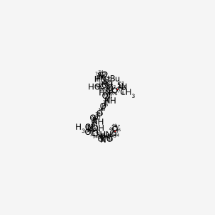 Cc1ncsc1-c1ccc([C@H](CC(=O)NCCOCCOCCC(=O)NCCN(C)C(=O)c2ccc(-c3cc(C(=O)N[C@@H]4CCc5ccccc54)no3)cc2O)NC(=O)[C@@H]2C[C@@H](O)CN2C(=O)[C@@H](NC(=O)C2(F)CC2)C(C)(C)C)cc1